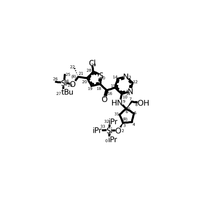 CC(C)[Si](O[C@@H]1CC[C@@](CO)(Nc2ncncc2C(=O)c2cc([C@@H](C)O[Si](C)(C)C(C)(C)C)c(Cl)s2)C1)(C(C)C)C(C)C